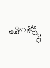 CC(=O)c1sc(C2CCN(C(=O)OC(C)(C)C)CC2)nc1-c1ccc(Oc2ccccc2)cc1